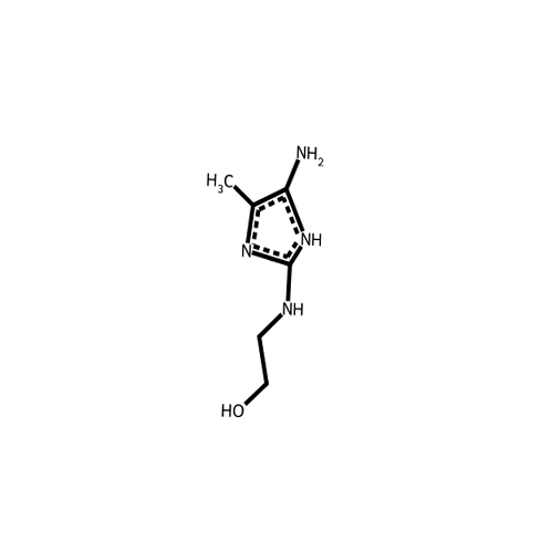 Cc1nc(NCCO)[nH]c1N